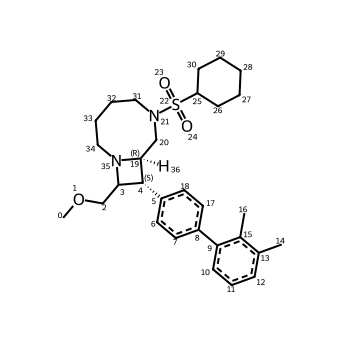 COCC1[C@@H](c2ccc(-c3cccc(C)c3C)cc2)[C@@H]2CN(S(=O)(=O)C3CCCCC3)CCCCN12